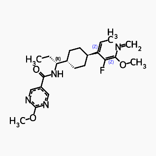 C=N/C(OC)=C(F)\C(=C/C)[C@H]1CC[C@H]([C@@H](CC)NC(=O)c2cnc(OC)nc2)CC1